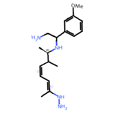 COc1cccc(C(CN)N[C@H](C)C(C)/C=C\C=C(/C)NN)c1